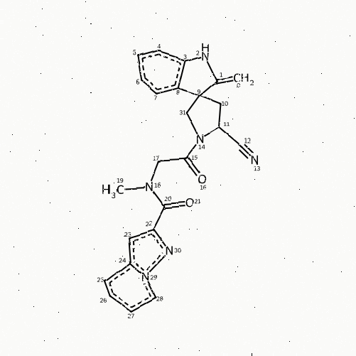 C=C1Nc2ccccc2C12CC(C#N)N(C(=O)CN(C)C(=O)c1cc3ccccn3n1)C2